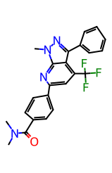 CN(C)C(=O)c1ccc(-c2cc(C(F)(F)F)c3c(-c4ccccc4)nn(C)c3n2)cc1